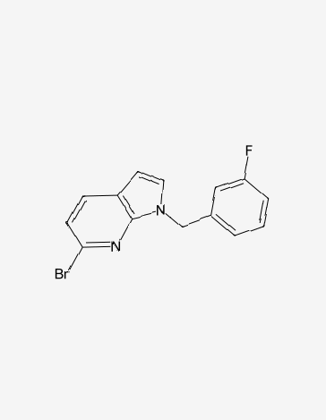 Fc1cccc(Cn2ccc3ccc(Br)nc32)c1